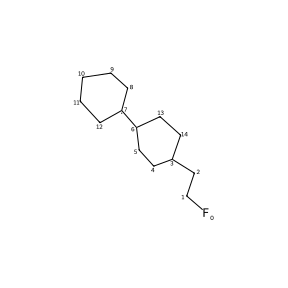 FCCC1CCC([C]2CCCCC2)CC1